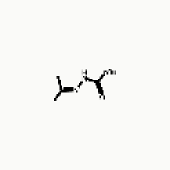 CCCCC(=O)NN=C(C)C